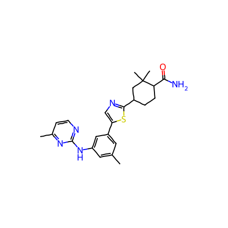 Cc1cc(Nc2nccc(C)n2)cc(-c2cnc(C3CCC(C(N)=O)C(C)(C)C3)s2)c1